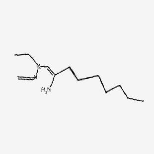 C=NN(/C=C(\N)CCCCCCC)CC